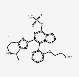 COCCOc1cccnc1-c1c(-c2cc3n(n2)[C@@H](C)CN[C@@H]3C)nc(OS(=O)(=O)C(F)(F)F)c2ccsc12